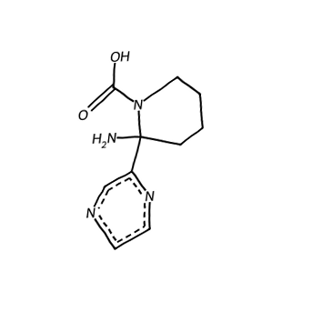 NC1(c2cnccn2)CCCCN1C(=O)O